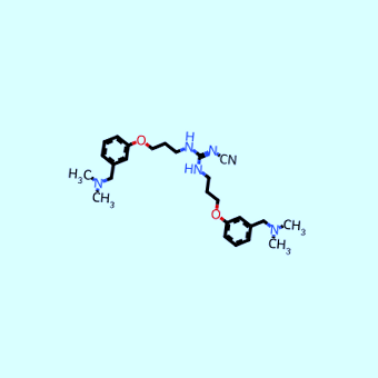 CN(C)Cc1cccc(OCCCNC(=NC#N)NCCCOc2cccc(CN(C)C)c2)c1